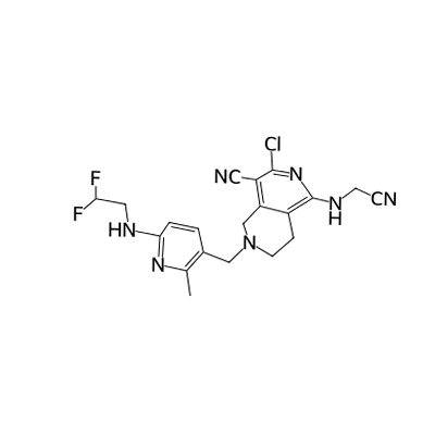 Cc1nc(NCC(F)F)ccc1CN1CCc2c(NCC#N)nc(Cl)c(C#N)c2C1